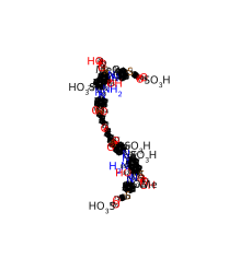 COc1cc(SC#COOS(=O)(=O)O)ccc1N=Nc1c(SOOO)cc2cc(S(=O)(=O)O)c(N=Nc3ccc(S(=O)(=O)CCCCOCCCCS(=O)(=O)c4ccc(N=Nc5c(S(=O)(=O)O)cc6cc(SOOO)c(N=Nc7ccc(SC#COOS(=O)(=O)O)cc7OC)c(O)c6c5N)c(S(=O)(=O)O)c4)cc3)c(N)c2c1O